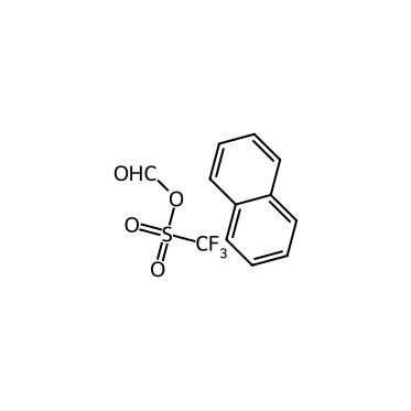 O=COS(=O)(=O)C(F)(F)F.c1ccc2ccccc2c1